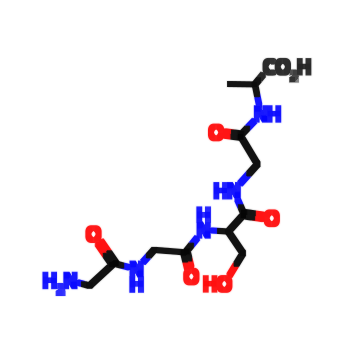 CC(NC(=O)CNC(=O)C(CO)NC(=O)CNC(=O)CN)C(=O)O